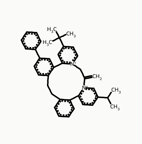 C=C1C[n+]2ccc(C(C)(C)C)cc2-c2cc(-c3ccccc3)ccc2CCc2ccccc2-c2ccc(C(C)C)c[n+]21